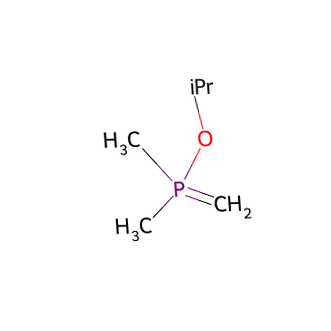 C=P(C)(C)OC(C)C